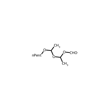 CCCCCOC(C)OC(C)O[C]=O